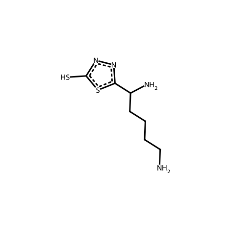 NCCCCC(N)c1nnc(S)s1